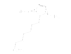 CCCCCCCCCCCCCCCCC1N(CCCC)C=CN1CCCCCC